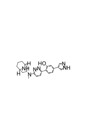 CN(c1ccc(-c2ccc(-c3cn[nH]c3)cc2O)nn1)[C@H]1C[C@H]2CCC[C@@H](C1)N2